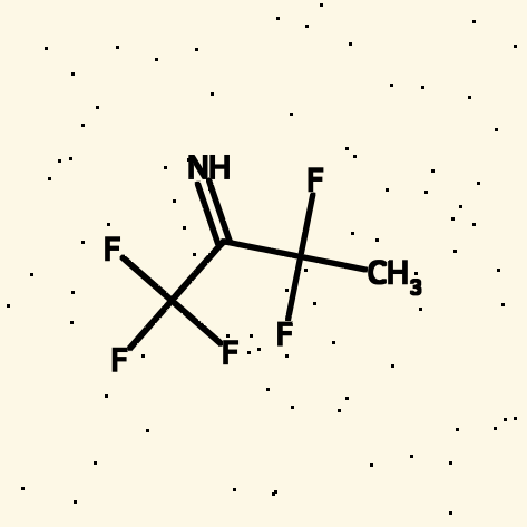 CC(F)(F)C(=N)C(F)(F)F